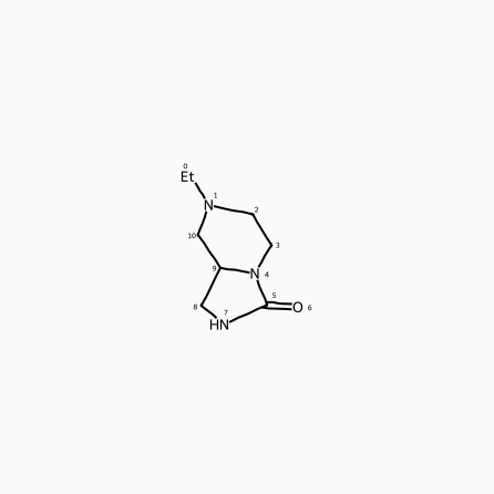 CCN1CCN2C(=O)NCC2C1